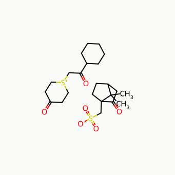 CC1(C)C2CCC1(CS(=O)(=O)[O-])C(=O)C2.O=C1CC[S+](CC(=O)C2CCCCC2)CC1